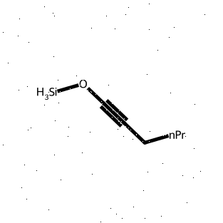 CCCCC#CO[SiH3]